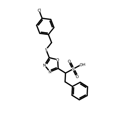 O=S(=O)(O)C(Cc1ccccc1)c1nnc(SCc2ccc(Cl)cc2)o1